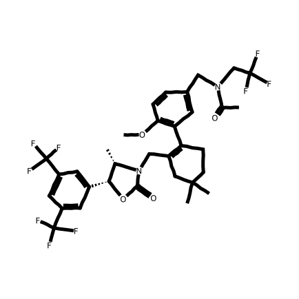 COc1ccc(CN(CC(F)(F)F)C(C)=O)cc1C1=C(CN2C(=O)O[C@H](c3cc(C(F)(F)F)cc(C(F)(F)F)c3)[C@@H]2C)CC(C)(C)CC1